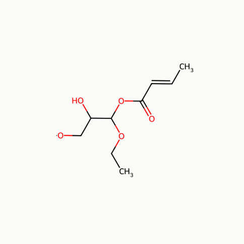 CC=CC(=O)OC(OCC)C(O)C[O]